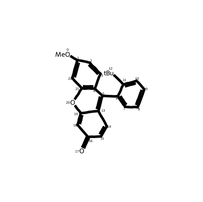 COc1ccc2c(-c3ccccc3C(C)(C)C)c3ccc(=O)cc-3oc2c1